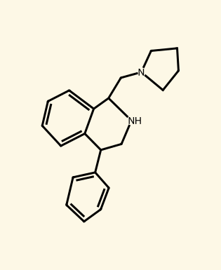 c1ccc(C2CNC(CN3CCCC3)c3ccccc32)cc1